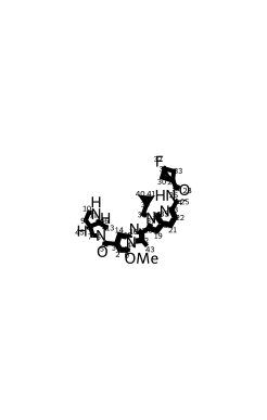 COc1cc(C(=O)N2C[C@@H]3CCN[C@@H]3C2)cc2nc(-c3cc4ccc([C@@H](C)NC(=O)C56CC(F)(C5)C6)nc4n3CC3CC3)c(C)n12